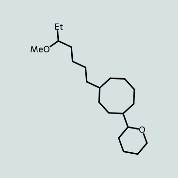 CCC(CCCCC1CCCCC(C2CCCCO2)CC1)OC